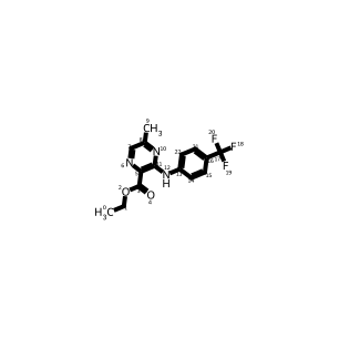 CCOC(=O)c1ncc(C)nc1Nc1ccc(C(F)(F)F)cc1